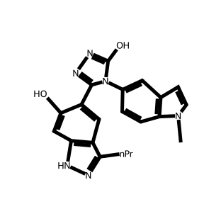 CCCc1n[nH]c2cc(O)c(-c3nnc(O)n3-c3ccc4c(ccn4C)c3)cc12